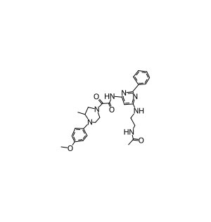 COc1ccc(N2CCN(C(=O)C(=O)Nc3cc(NCCNC(C)=O)nc(-c4ccccc4)n3)CC2C)cc1